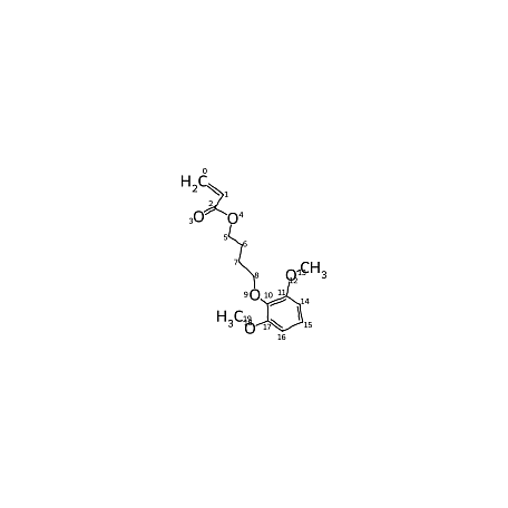 C=CC(=O)OCCCCOc1c(OC)cccc1OC